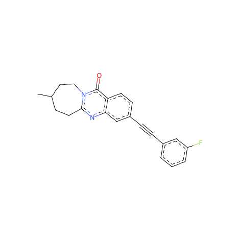 CC1CCc2nc3cc(C#Cc4cccc(F)c4)ccc3c(=O)n2CC1